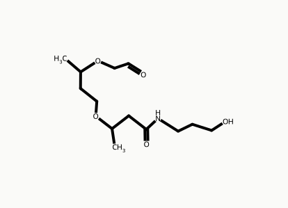 CC(CCOC(C)CC(=O)NCCCO)OCC=O